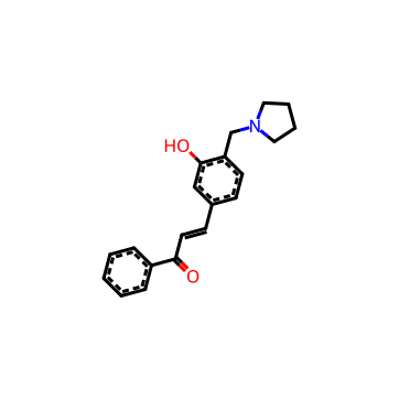 O=C(/C=C/c1ccc(CN2CCCC2)c(O)c1)c1ccccc1